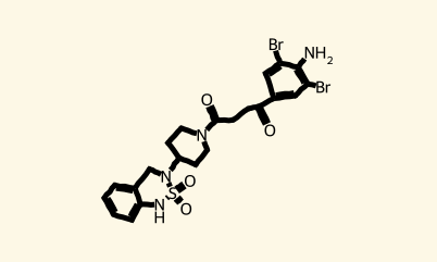 Nc1c(Br)cc(C(=O)CCC(=O)N2CCC(N3Cc4ccccc4NS3(=O)=O)CC2)cc1Br